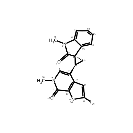 CN1C(=O)[C@@]2(C[C@H]2c2cn(C)c(=O)c3[nH]c(I)cc23)c2ccccc21